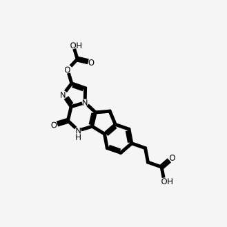 O=C(O)CCc1ccc2c(c1)Cc1c-2[nH]c(=O)c2nc(OC(=O)O)cn12